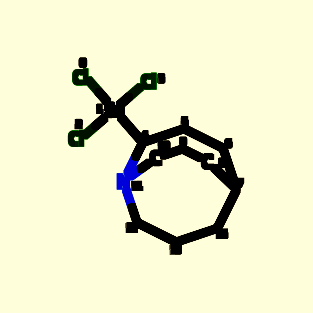 [Cl][Sn]([Cl])([Cl])[CH]1CCC2CCCN1CCC2